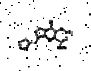 CCCCOc1c(C(=O)OC)nc2n(Cc3nccs3)ccn2c1=O